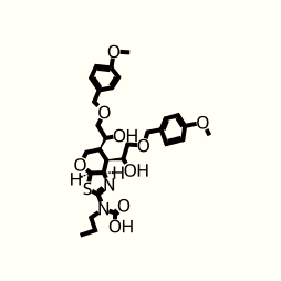 CCCN(C(=O)O)C1=N[C@@H]2[C@H](C(O)COCc3ccc(OC)cc3)[C@H](C(O)COCc3ccc(OC)cc3)CO[C@@H]2S1